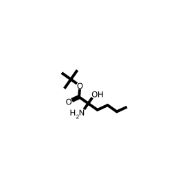 CCCCC(N)(O)C(=O)OC(C)(C)C